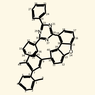 Cc1ccccc1-c1cc(-c2ccc3oc4cccc(-c5nc(-c6ccccc6)nc(-c6ccccc6)n5)c4c3c2)ccc1C